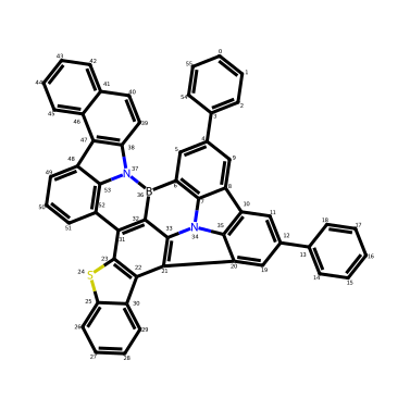 c1ccc(-c2cc3c4c(c2)c2cc(-c5ccccc5)cc5c6c7c(sc8ccccc87)c7c(c6n4c25)B3n2c3ccc4ccccc4c3c3cccc-7c32)cc1